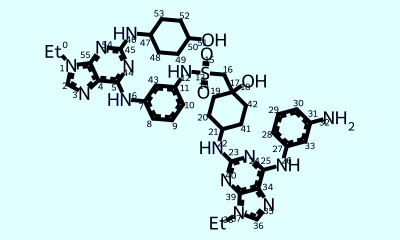 CCn1cnc2c(Nc3cccc(NS(=O)(=O)CC4(O)CCC(Nc5nc(Nc6cccc(N)c6)c6ncn(CC)c6n5)CC4)c3)nc(NC3CCC(O)CC3)nc21